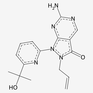 C=CCn1c(=O)c2cnc(N)nc2n1-c1cccc(C(C)(C)O)n1